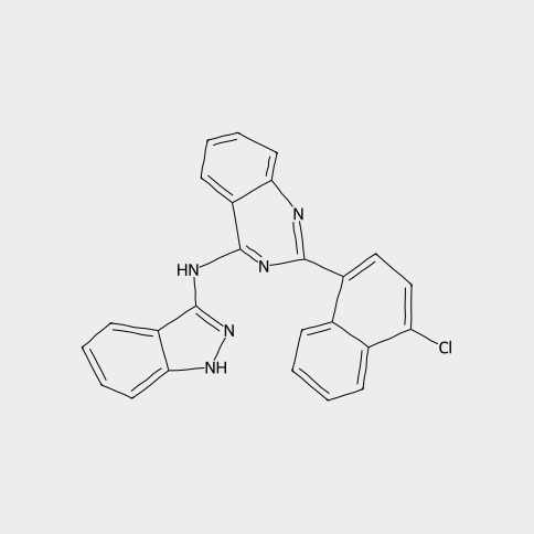 Clc1ccc(-c2nc(Nc3n[nH]c4ccccc34)c3ccccc3n2)c2ccccc12